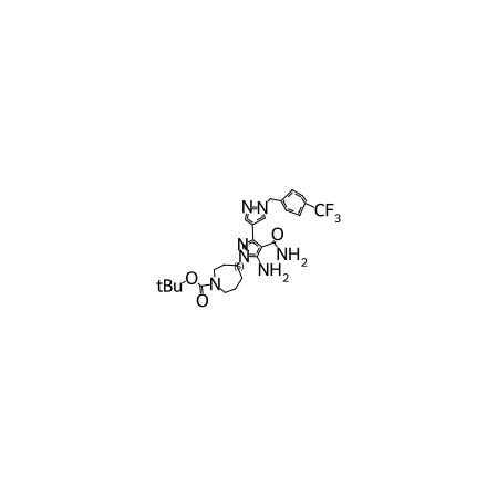 CC(C)(C)OC(=O)N1CCC[C@H](n2nc(-c3cnn(Cc4ccc(C(F)(F)F)cc4)c3)c(C(N)=O)c2N)CC1